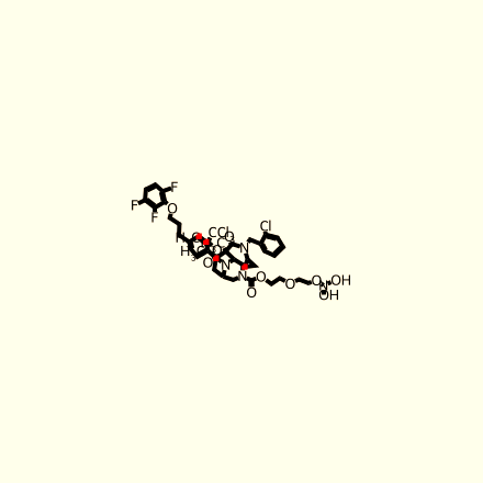 CC1(C(=O)N(Cc2ccccc2Cl)C2CC2)C(c2ccc(CCCOc3c(F)ccc(F)c3F)cc2)CC2CN(C(=O)OCCOCCON(O)O)CC1N2C(=O)OC(C)(C)C(Cl)(Cl)Cl